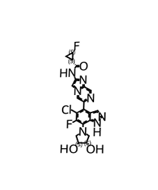 O=C(Nc1cn2cc(-c3c(Cl)c(F)c(N4C[C@H](O)[C@@H](O)C4)c4[nH]ncc34)ncc2n1)[C@@H]1C[C@@H]1F